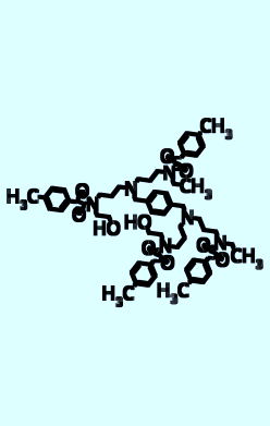 CCN(CCCN(CCCN(CCO)S(=O)(=O)c1ccc(C)cc1)Cc1ccc(CN(CCCN(CC)S(=O)(=O)c2ccc(C)cc2)CCCN(CCO)S(=O)(=O)c2ccc(C)cc2)cc1)S(=O)(=O)c1ccc(C)cc1